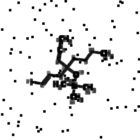 C=C=CC(CC=CI)(CCCC)O[Si](C)(C)C